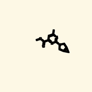 COC(=O)c1cc(C)nc(N2CC3CC3C2)n1